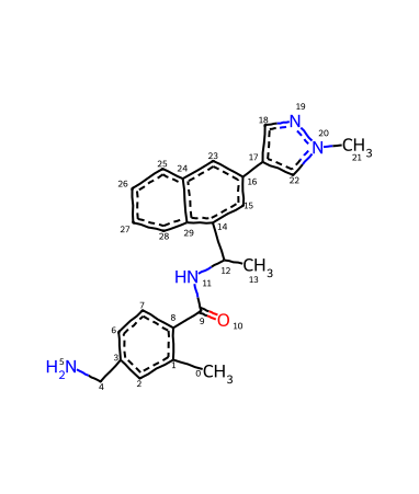 Cc1cc(CN)ccc1C(=O)NC(C)c1cc(-c2cnn(C)c2)cc2ccccc12